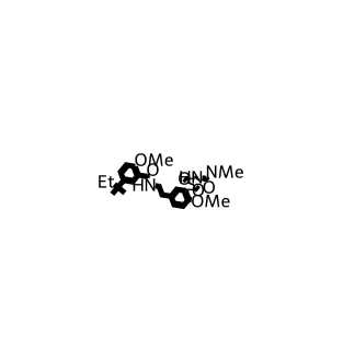 CCC(C)(C)c1ccc(OC)c(C(=O)NCCc2ccc(OC)c(S(=O)(=O)NC(=O)NC)c2)c1